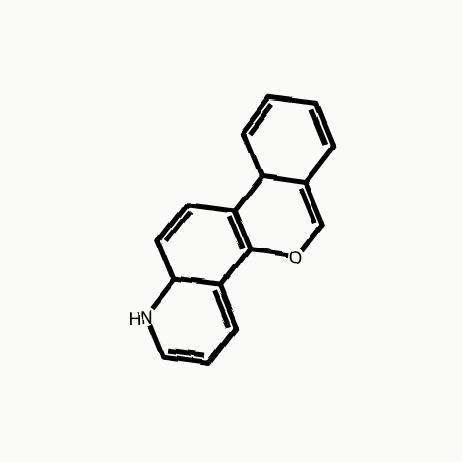 C1=CNC2C=CC3=C(OC=C4C=CC=CC43)C2=C1